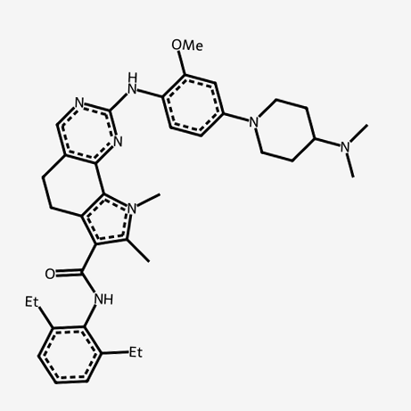 CCc1cccc(CC)c1NC(=O)c1c2c(n(C)c1C)-c1nc(Nc3ccc(N4CCC(N(C)C)CC4)cc3OC)ncc1CC2